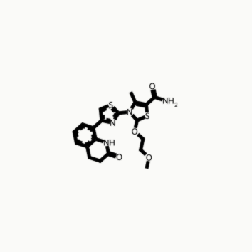 COCCOC1SC(C(N)=O)=C(C)N1c1nc(-c2cccc3c2NC(=O)CC3)cs1